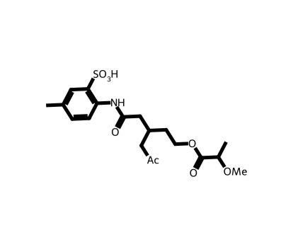 COC(C)C(=O)OCCC(CC(C)=O)CC(=O)Nc1ccc(C)cc1S(=O)(=O)O